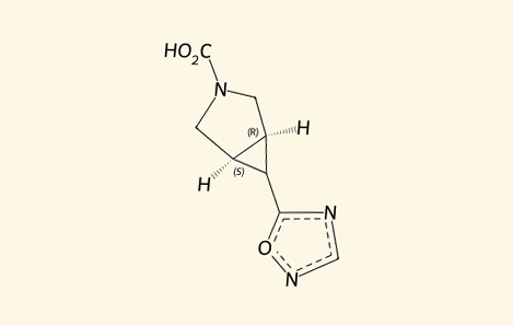 O=C(O)N1C[C@@H]2C(c3ncno3)[C@@H]2C1